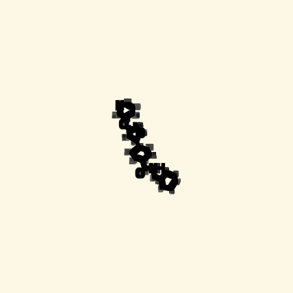 O=C(NCc1ccccc1)c1ccc([C@@H]2CC(Oc3cccnc3)=NO2)cc1